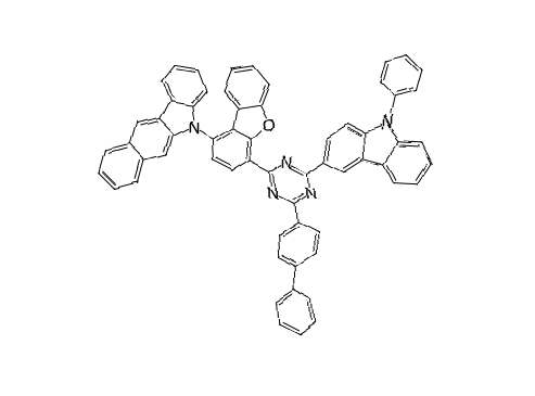 c1ccc(-c2ccc(-c3nc(-c4ccc5c(c4)c4ccccc4n5-c4ccccc4)nc(-c4ccc(-n5c6ccccc6c6cc7ccccc7cc65)c5c4oc4ccccc45)n3)cc2)cc1